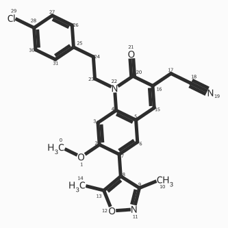 COc1cc2c(cc1-c1c(C)noc1C)cc(CC#N)c(=O)n2CCc1ccc(Cl)cc1